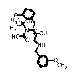 COc1cccc(CNC[C@@H](O)[C@H](Cc2cccc(F)c2)N(C(=O)O)C(C)(C)C)c1